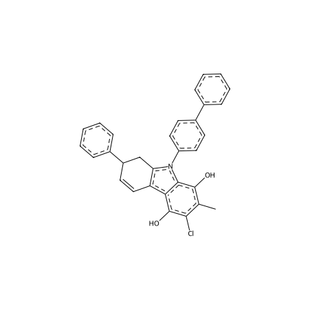 Cc1c(Cl)c(O)c2c3c(n(-c4ccc(-c5ccccc5)cc4)c2c1O)CC(c1ccccc1)C=C3